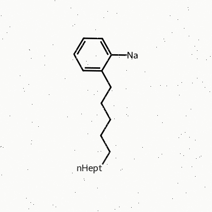 CCCCCCCCCCCCc1cccc[c]1[Na]